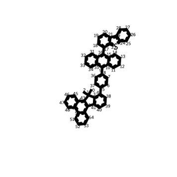 CC1(C)c2c(-c3ccc(-c4c5ccccc5c(-c5cccc6c5sc5ccccc56)c5ccccc45)cc3)cccc2-c2c1c1ccccc1c1ccccc21